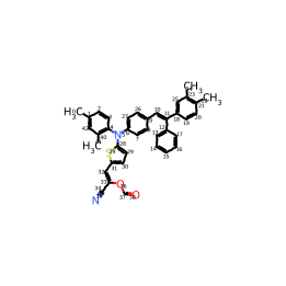 Cc1ccc(N(c2ccc(/C=C(\c3ccccc3)c3ccc(C)c(C)c3)cc2)c2ccc(/C=C(/C#N)OC=O)s2)c(C)c1